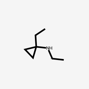 C[CH]NC1(CC)CC1